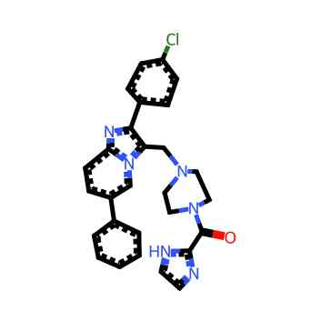 O=C(c1ncc[nH]1)N1CCN(Cc2c(-c3ccc(Cl)cc3)nc3ccc(-c4ccccc4)cn23)CC1